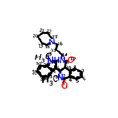 CN1C(=O)c2ccccc2C(C(=O)NCCCN2CCCCCC2)C1c1cn(C)c2ccccc12